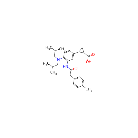 Cc1ccc(CC(=O)Nc2cc(C3CC3C(=O)O)ccc2N(CC(C)C)CC(C)C)cc1